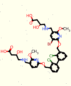 COc1nc(OCc2cccc(-c3cccc(COc4nc(OC)c(CNC[C@@H](O)CC(=O)O)cc4Br)c3Cl)c2Cl)ccc1CNC[C@@H](O)CC(=O)O